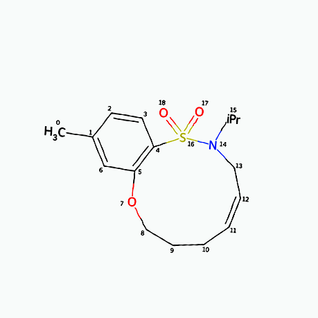 Cc1ccc2c(c1)OCCC/C=C\CN(C(C)C)S2(=O)=O